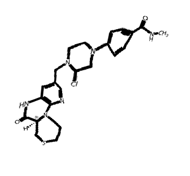 CNC(=O)c1ccc(N2CCN(Cc3cnc4c(c3)NC(=O)[C@@H]3CSCCN43)C(Cl)C2)cc1